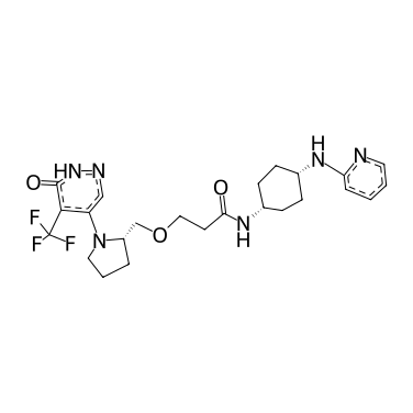 O=C(CCOC[C@@H]1CCCN1c1cn[nH]c(=O)c1C(F)(F)F)N[C@H]1CC[C@@H](Nc2ccccn2)CC1